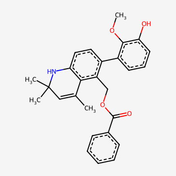 COc1c(O)cccc1-c1ccc2c(c1COC(=O)c1ccccc1)C(C)=CC(C)(C)N2